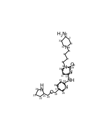 NC1CCN(CCCCn2ccc(Nc3ccc(COCC4CCCN4)cn3)nc2=O)CC1